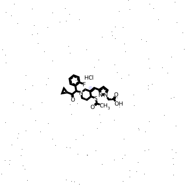 CC(=O)SC1CCN(C(C(=O)C2CC2)c2ccccc2F)C/C1=C/c1ccn(CC(=O)O)n1.Cl